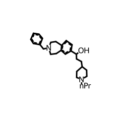 CCCN1CCC(CCC(O)c2ccc3c(c2)CCN(Cc2ccccc2)CC3)CC1